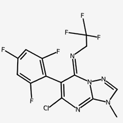 Cn1cnn2c(=NCC(F)(F)F)c(-c3c(F)cc(F)cc3F)c(Cl)nc12